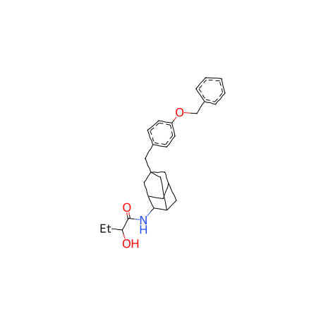 CCC(O)C(=O)NC1C2CC3CC1CC(Cc1ccc(OCc4ccccc4)cc1)(C3)C2